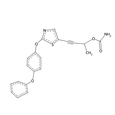 CC(C#Cc1cnc(Oc2ccc(Oc3ccccc3)cc2)s1)OC(N)=O